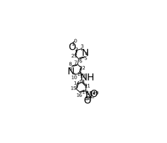 COc1cncc(-c2cncc(Nc3cccc([N+](=O)[O-])c3)c2)c1